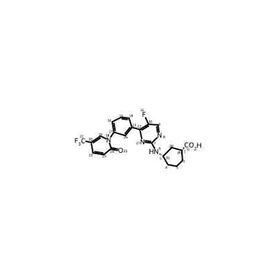 O=C(O)[C@@H]1CCC[C@H](Nc2ncc(F)c(-c3cccc(-n4cc(C(F)(F)F)ccc4=O)c3)n2)C1